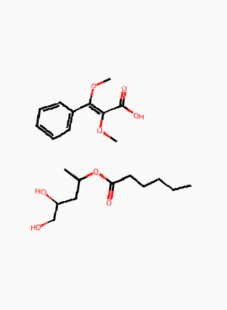 CCCCCC(=O)OC(C)CC(O)CO.COC(C(=O)O)=C(OC)c1ccccc1